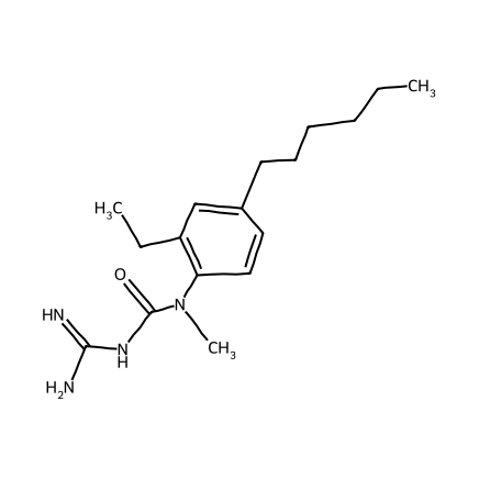 CCCCCCc1ccc(N(C)C(=O)NC(=N)N)c(CC)c1